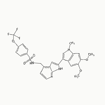 COc1cc2c(-c3cc4c(CNS(=O)(=O)c5ccc(OC(F)(F)F)cc5)ccnc4[nH]3)cn(C)c2cc1OC